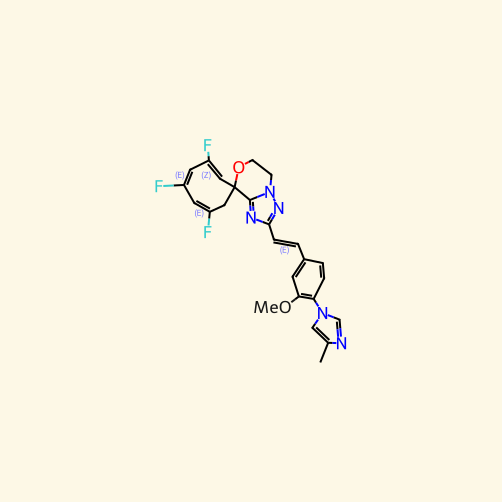 COc1cc(/C=C/c2nc3n(n2)CCOC32/C=C(F)/C=C(F)\C=C(\F)C2)ccc1-n1cnc(C)c1